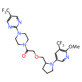 COc1ncc(N2CCCC2COCC(=O)N2CCN(c3ncc(C(F)(F)F)cn3)CC2)cc1C(F)(F)F